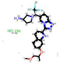 COCC(C)Oc1ccc2ccc(-c3nnc4ccc([C@@H](N5CCC(N)C5)C(F)(F)F)cn34)nc2c1.Cl.Cl